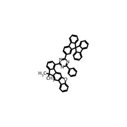 CC1(C)c2cc3c(cc2-c2c(-c4nc(-c5ccccc5)nc(-c5ccc6c(c5)C5(c7ccccc7-c7ccccc75)c5ccccc5-6)n4)cccc21)oc1ccccc13